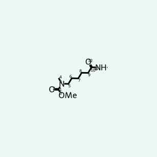 COC(=O)N(C)CCCCCC([NH])=O